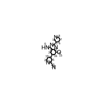 CNc1nc(-c2cccnc2)nc2c(OC)cc(-c3ccnc(C#N)c3)cc12